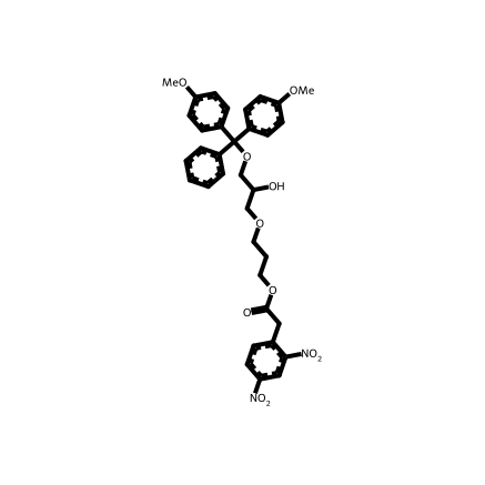 COc1ccc(C(OCC(O)COCCCOC(=O)Cc2ccc([N+](=O)[O-])cc2[N+](=O)[O-])(c2ccccc2)c2ccc(OC)cc2)cc1